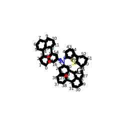 c1ccc(-c2cccc3cccc(-c4cccc(N(c5cccc(-c6cccc7cccc(-c8ccccc8)c67)c5)c5cccc6c5sc5ccccc56)c4)c23)cc1